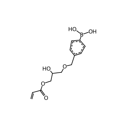 C=CC(=O)OCC(O)COCc1ccc(B(O)O)cc1